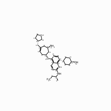 C[C@@H](CC(F)(F)F)Nc1ncc2c(O[C@H]3CC=C(C[C@@H]4CCOC4)C[C@@H](N)C3)ncc([C@H]3CC[C@H](O)CC3)c2n1